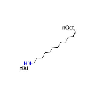 CCCCCCCC/C=C\CCCCCCCCCCNCCCC